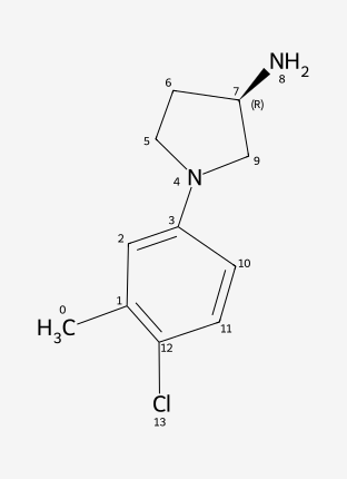 Cc1cc(N2CC[C@@H](N)C2)ccc1Cl